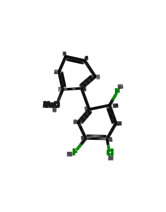 COc1ccccc1-c1cc(F)c(Cl)cc1F